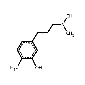 Cc1ccc(CCCN(C)C)cc1O